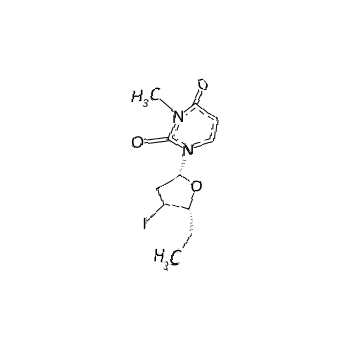 CC[C@H]1O[C@@H](n2ccc(=O)n(C)c2=O)CC1I